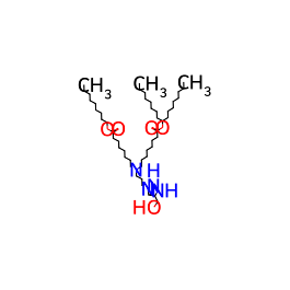 CCCCCCCCCOC(=O)CCCCCCCN(CCCCCCCC(=O)OC(CCCCCCCC)CCCCCCCC)CCCN1C=C(CO)NN1